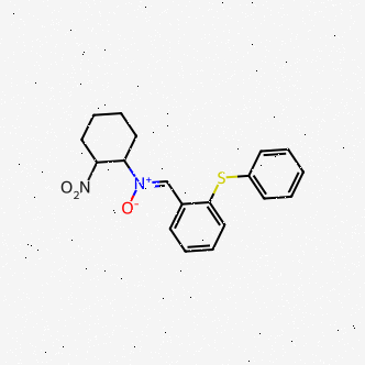 O=[N+]([O-])C1CCCCC1[N+]([O-])=Cc1ccccc1Sc1ccccc1